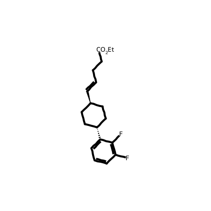 CCOC(=O)CCC=C[C@H]1CC[C@H](c2cccc(F)c2F)CC1